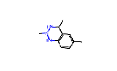 Cc1ccc2c(c1)C(C)NN(C)N2